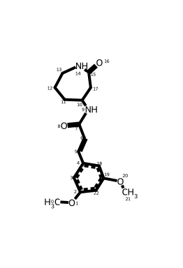 COc1cc(C=CC(=O)NC2CCCNC(=O)C2)cc(OC)c1